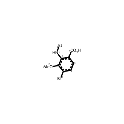 CCNc1c(C(=O)O)ccc(Br)c1OC